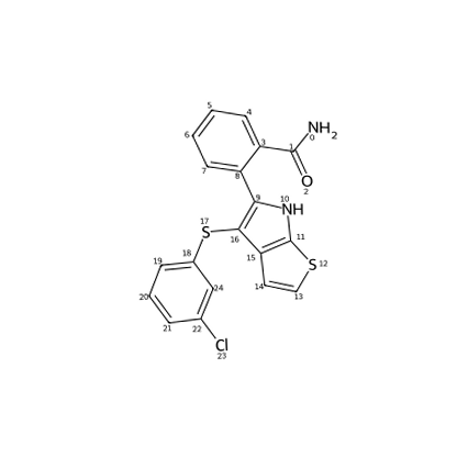 NC(=O)c1ccccc1-c1[nH]c2sccc2c1Sc1cccc(Cl)c1